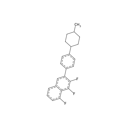 CC1CCC(c2ccc(-c3cc4cccc(F)c4c(F)c3F)cc2)CC1